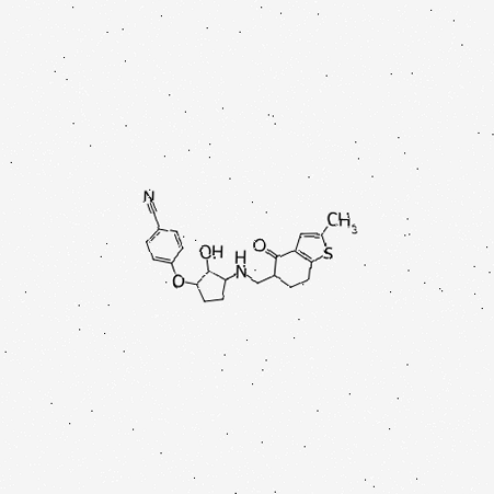 Cc1cc2c(s1)CCC(CNC1CCC(Oc3ccc(C#N)cc3)C1O)C2=O